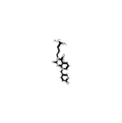 CC(C)=CCCn1c(=O)nc2n(Cc3ccc(Cl)nc3)cccc-2c1=O